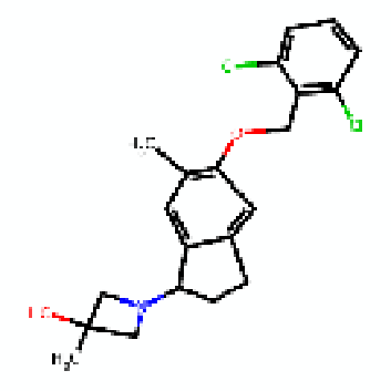 Cc1cc2c(cc1OCc1c(Cl)cccc1Cl)CCC2N1CC(C)(O)C1